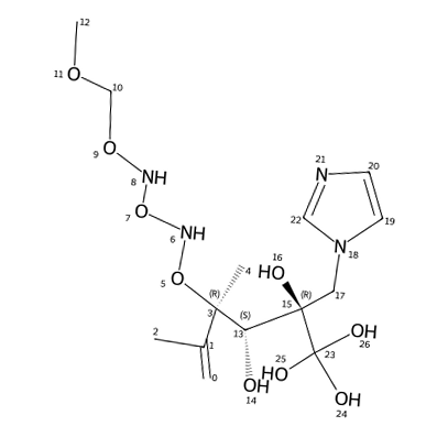 C=C(C)[C@@](C)(ONONOCOC)[C@@H](O)[C@](O)(Cn1ccnc1)C(O)(O)O